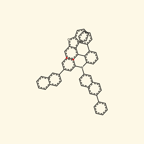 c1ccc(-c2ccc3cc(N(c4cccc(-c5ccc6ccccc6c5)c4)c4cccc(-c5ccccc5)c4-c4cccc5oc6ccccc6c45)ccc3c2)cc1